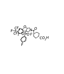 O=C(O)[C@H]1CC[C@](F)(C(=O)N2CC3Oc4cc(C(F)(C(F)(F)F)C(F)(F)F)ccc4C3(S(=O)(=O)c3ccc(F)cc3)C2)CC1